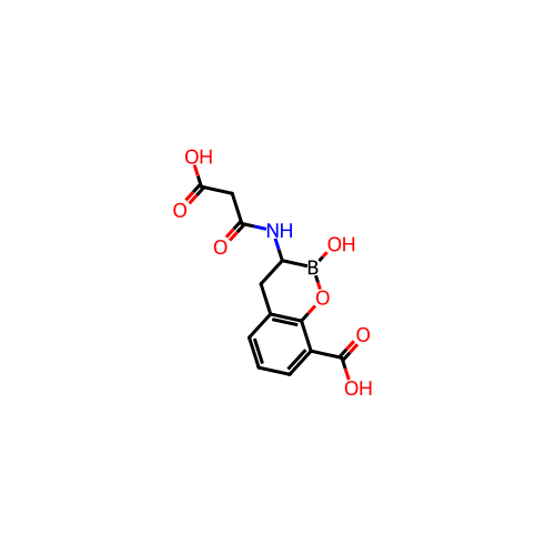 O=C(O)CC(=O)NC1Cc2cccc(C(=O)O)c2OB1O